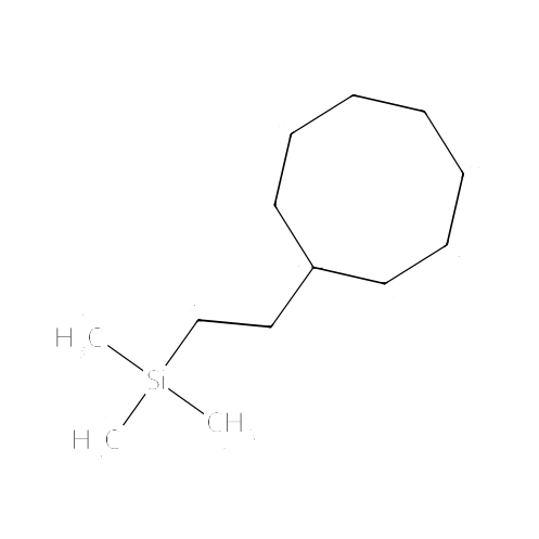 C[Si](C)(C)CC[C]1CCCCCCC1